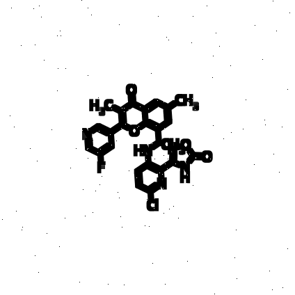 Cc1cc(C(C)Nc2ccc(Cl)nc2-c2noc(=O)[nH]2)c2oc(-c3cncc(F)c3)c(C)c(=O)c2c1